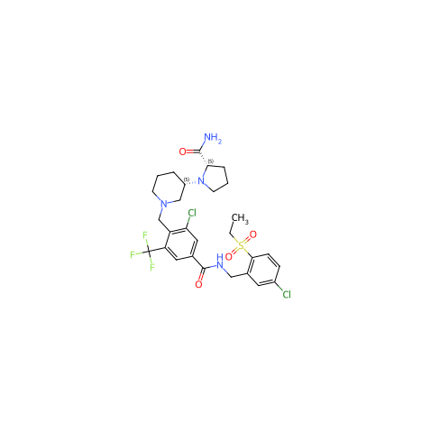 CCS(=O)(=O)c1ccc(Cl)cc1CNC(=O)c1cc(Cl)c(CN2CCC[C@H](N3CCC[C@H]3C(N)=O)C2)c(C(F)(F)F)c1